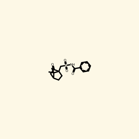 CC1(C)C2CCC1(CS(=O)(=O)NC(=O)c1ccccc1)C(=O)C2